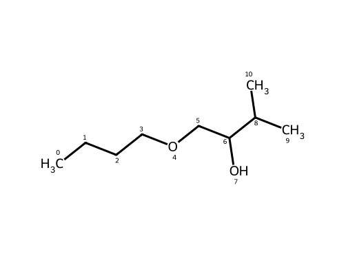 CCCCOCC(O)C(C)C